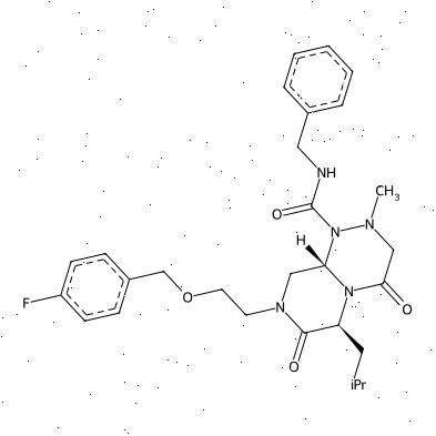 CC(C)C[C@H]1C(=O)N(CCOCc2ccc(F)cc2)C[C@H]2N1C(=O)CN(C)N2C(=O)NCc1ccccc1